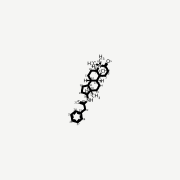 C[C@]12CCC(=O)[N+](C)(C)[C@@H]1CC[C@@H]1[C@@H]2CC[C@]2(C)C(NC(=S)Cc3ccccc3)CC[C@@H]12